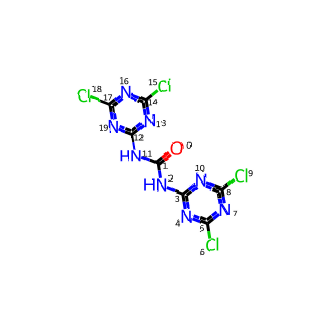 O=C(Nc1nc(Cl)nc(Cl)n1)Nc1nc(Cl)nc(Cl)n1